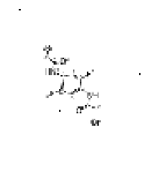 O=C(CBr)Nc1cc(F)c(NC(=O)CBr)cc1F